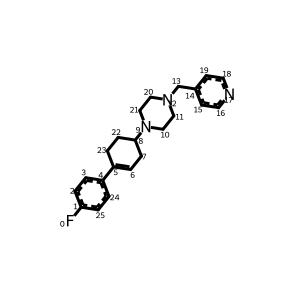 Fc1ccc(C2=CCC(N3CCN(Cc4ccncc4)CC3)CC2)cc1